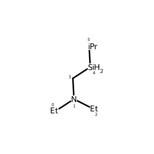 CCN(CC)C[SiH2]C(C)C